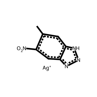 Cc1cc2[nH]nnc2cc1[N+](=O)[O-].[Ag+]